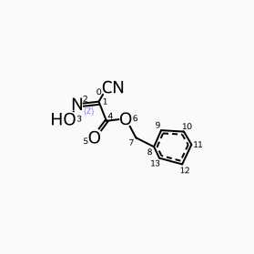 N#C/C(=N/O)C(=O)OCc1ccccc1